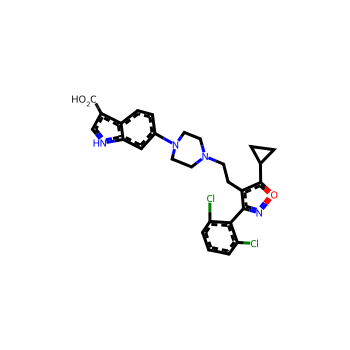 O=C(O)c1c[nH]c2cc(N3CCN(CCc4c(-c5c(Cl)cccc5Cl)noc4C4CC4)CC3)ccc12